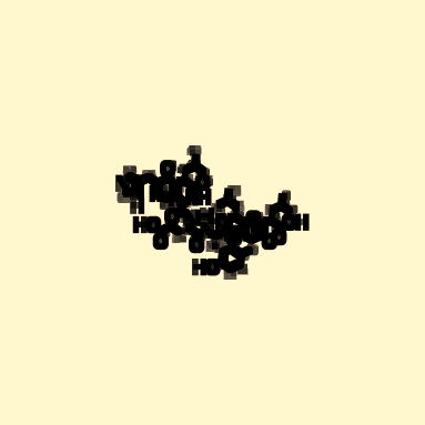 CC(C)C[C@H](NC(=O)[C@H](Cc1ccc(O)cc1)NC(=O)[C@H](CC(C)C)NC(=O)[C@H](C)NC(=O)[C@H](CCC(=O)O)NC(=O)[C@@H](NC(=O)[C@H](CC(C)C)NC(=O)[C@@H](N)Cc1cnc[nH]1)C(C)C)C(=O)O